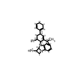 CCCC1CN2c3ccc4cc3N(C3C(=CC(C5=CCCC=C5)CC3C(C)C)C4C)C12